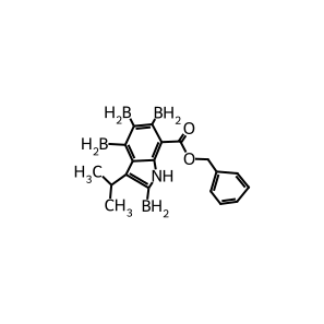 Bc1[nH]c2c(C(=O)OCc3ccccc3)c(B)c(B)c(B)c2c1C(C)C